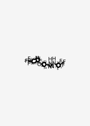 FC(F)(F)c1cccc(Nc2nnc(-c3ccc(Oc4ccnc5cc(C(F)(F)F)ccc45)cc3)[nH]2)c1